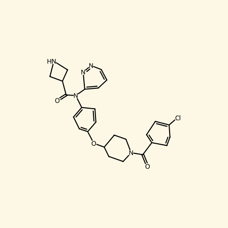 O=C(c1ccc(Cl)cc1)N1CCC(Oc2ccc(N(C(=O)C3CNC3)c3cccnn3)cc2)CC1